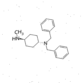 CN[C@H]1CC[C@H](N(Cc2ccccc2)Cc2ccccc2)CC1